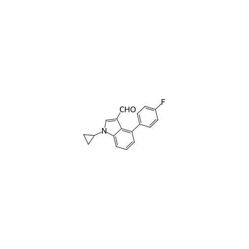 O=Cc1cn(C2CC2)c2cccc(-c3ccc(F)cc3)c12